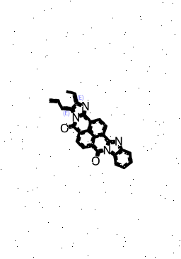 C=C/C=c1\c(=C/C)nc2c3ccc4c5c(ccc(c(=O)n12)c35)c(=O)n1c2ccccc2nc41